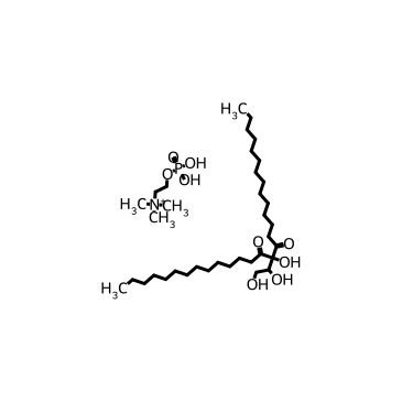 CCCCCCCCCCCCCC(=O)C(O)(C(=O)CCCCCCCCCCCCC)C(O)CO.C[N+](C)(C)CCOP(=O)(O)O